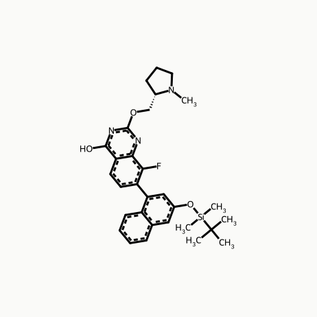 CN1CCC[C@H]1COc1nc(O)c2ccc(-c3cc(O[Si](C)(C)C(C)(C)C)cc4ccccc34)c(F)c2n1